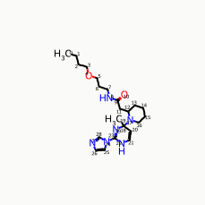 CCCCOCCCNC(=O)CC1CCCCN1C1(C)C=CNC(n2ccnc2)=N1